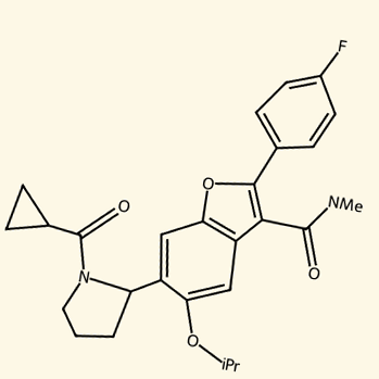 CNC(=O)c1c(-c2ccc(F)cc2)oc2cc(C3CCCN3C(=O)C3CC3)c(OC(C)C)cc12